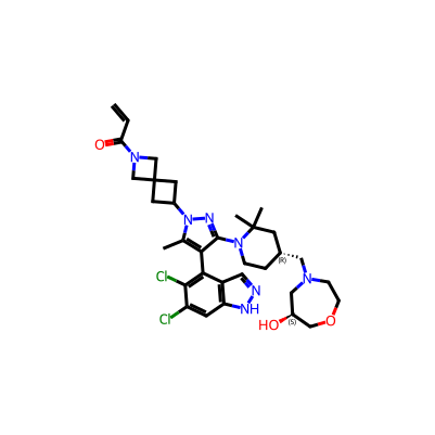 C=CC(=O)N1CC2(CC(n3nc(N4CC[C@@H](CN5CCOC[C@@H](O)C5)CC4(C)C)c(-c4c(Cl)c(Cl)cc5[nH]ncc45)c3C)C2)C1